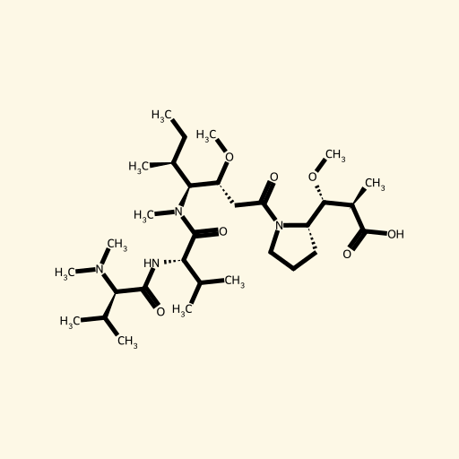 CC[C@H](C)[C@@H]([C@@H](CC(=O)N1CCC[C@H]1[C@H](OC)[C@@H](C)C(=O)O)OC)N(C)C(=O)[C@@H](NC(=O)[C@@H](C(C)C)N(C)C)C(C)C